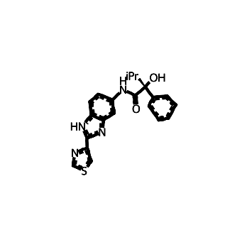 CC(C)[C@](O)(C(=O)Nc1ccc2[nH]c(-c3cscn3)nc2c1)c1ccccc1